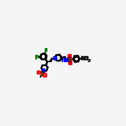 CS(=O)(=O)N1CCC([C@@H](CCN2CCC(CNS(=O)(=O)c3ccc([N+](=O)[O-])cc3)CC2)c2cc(F)cc(F)c2)CC1